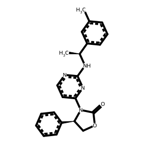 Cc1cccc([C@H](C)Nc2nccc(N3C(=O)OC[C@H]3c3ccccc3)n2)c1